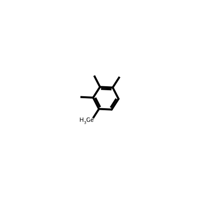 Cc1cc[c]([GeH3])c(C)c1C